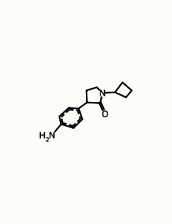 Nc1ccc(C2CCN(C3CCC3)C2=O)cc1